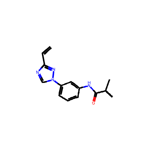 C=Cc1ncn(-c2cccc(NC(=O)C(C)C)c2)n1